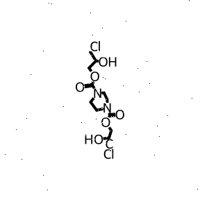 O=C(OCC(O)CCl)N1CCN(C(=O)OCC(O)CCl)CC1